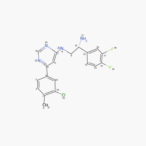 Cc1ccc(-c2cc(NC[C@H](N)c3ccc(F)c(F)c3)ncn2)cc1Cl